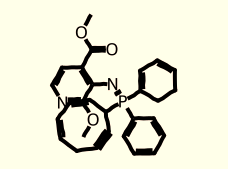 COC(=O)c1ccnc(OC)c1N=P(C1=CC=CCC1)(c1ccccc1)C1C#CC/C=C\C=C/1